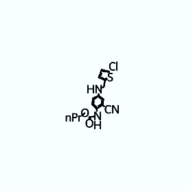 CCCOC(=O)Nc1ccc(NCc2ccc(Cl)s2)cc1C#N